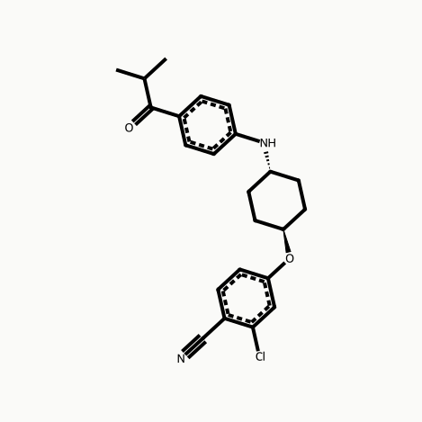 CC(C)C(=O)c1ccc(N[C@H]2CC[C@H](Oc3ccc(C#N)c(Cl)c3)CC2)cc1